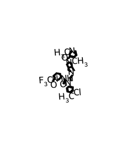 Cc1ccc(N(CCCN2CC3CN(C(=O)c4c(C)ccnc4C)CC3C2)C(=O)NC2CCCN(C(=O)C(F)(F)F)C2)cc1Cl